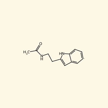 CC(=O)NCCc1cc2c[c]ccc2[nH]1